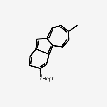 CCCCCCCc1ccc2cc3ccc(C)ccc-3c2c1